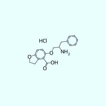 Cl.NC(COc1ccc2c(c1C(=O)O)CCO2)Cc1ccccc1